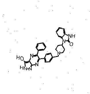 O=c1[nH]c2ccccc2n1C1CCN(Cc2ccc(-c3nc4n[nH]c(O)c4nc3-c3ccccc3)cc2)CC1